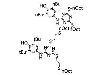 CCCCCCCCSCCSc1nc(Nc2cc(C(C)(C)C)c(O)c(C(C)(C)C)c2)nc(SCCSCCCCCCCC)n1.CCCCCCCCSc1nc(Nc2cc(CCCC)c(O)c(CCCC)c2)nc(SCCCCCCCC)n1